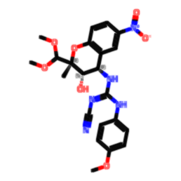 COc1ccc(NC(=NC#N)N[C@@H]2c3cc([N+](=O)[O-])ccc3O[C@@](C)(C(OC)OC)[C@H]2O)cc1